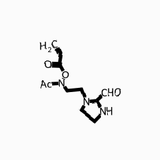 C=CC(=O)ON(CCN1CCNC1C=O)C(C)=O